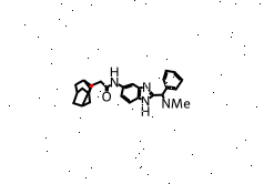 CNC(c1ccccc1)c1nc2cc(NC(=O)CC3C4CC5CC(C4)CC3C5)ccc2[nH]1